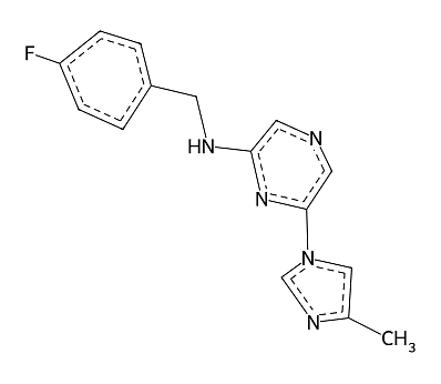 Cc1cn(-c2cncc(NCc3ccc(F)cc3)n2)cn1